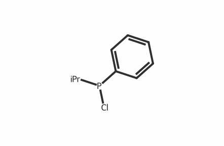 CC(C)P(Cl)c1ccccc1